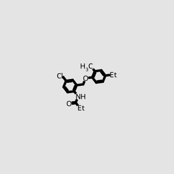 CCC(=O)Nc1ccc(Cl)cc1COc1ccc(CC)cc1C